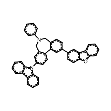 c1ccc(N2Cc3cc(-n4c5ccccc5c5ccccc54)ccc3-c3cc(-c4ccc5oc6ccccc6c5c4)ccc3C2)cc1